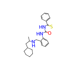 CC(CC1CCCCC1)NCc1ccccc1NC(=O)NC(=S)c1ccccc1